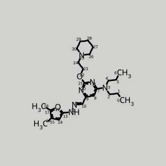 CCCN(CCC)c1cc(/C=N/Nc2cc(C)c(C)o2)nc(OCCN2CCCCC2)n1